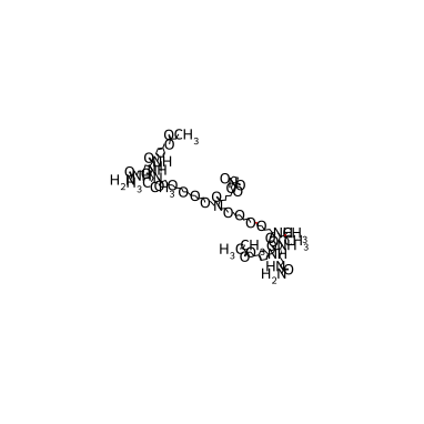 CCC(=O)OCc1ccc(NC(=O)C(CCCNC(N)=O)NC(=O)[C@@H](NC(=O)CCOCCOCCOCCOCCN(CCOCCOCCOCCOCCC(=O)N[C@H](C(=O)N[C@@H](CCCNC(N)=O)C(=O)Nc2ccc(COC(=O)C(C)C)cc2)C(C)C)C(=O)CCCC(=O)ON2C(=O)CCC2=O)C(C)C)cc1